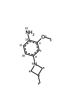 COc1cc(N2CC(C)C2)ccc1N